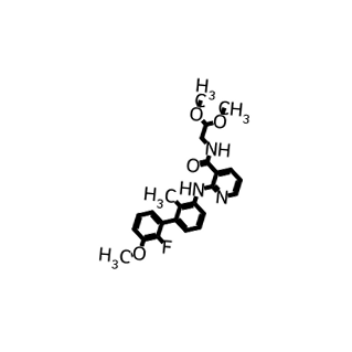 COc1cccc(-c2cccc(Nc3ncccc3C(=O)NCC(OC)OC)c2C)c1F